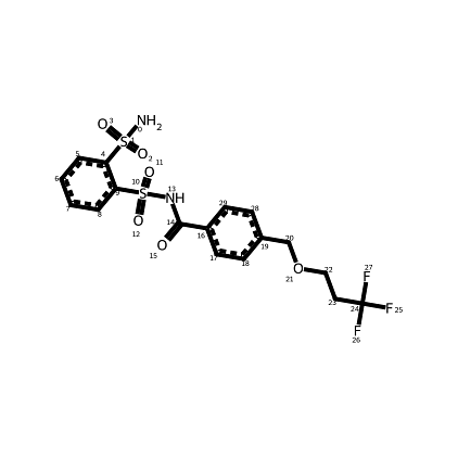 NS(=O)(=O)c1ccccc1S(=O)(=O)NC(=O)c1ccc(COCCC(F)(F)F)cc1